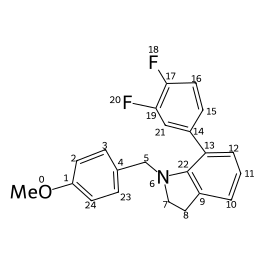 COc1ccc(CN2CCc3cccc(-c4ccc(F)c(F)c4)c32)cc1